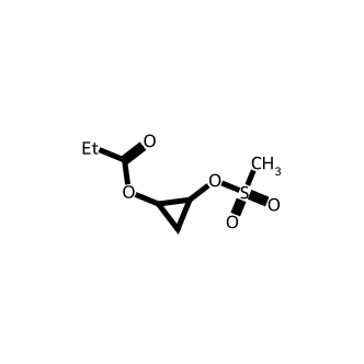 CCC(=O)OC1CC1OS(C)(=O)=O